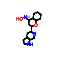 O/N=c1\cc(-c2cc3cc[nH]c3cn2)oc2ccccc12